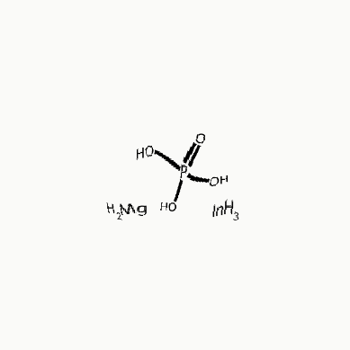 O=P(O)(O)O.[InH3].[MgH2]